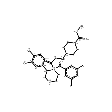 Cc1cc(C)cc(C(=O)[N+]2(C(=O)CNC3CCN(C(=O)OC(C)(C)C)CC3)CCNCC2c2ccc(Cl)c(Cl)c2)c1